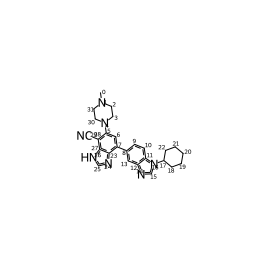 CN1CCN(c2cc(-c3ccc4c(c3)ncn4C3CCCCC3)c3nc[nH]c3c2C#N)CC1